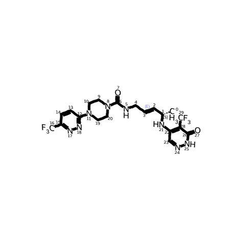 C[C@@H](/C=C/CNC(=O)N1CCN(c2ccc(C(F)(F)F)nn2)CC1)Nc1cn[nH]c(=O)c1C(F)(F)F